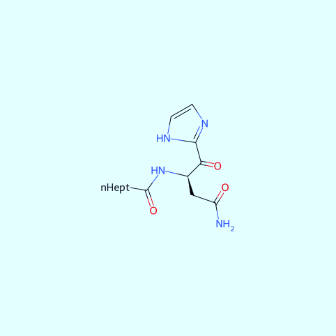 CCCCCCCC(=O)N[C@H](CC(N)=O)C(=O)c1ncc[nH]1